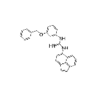 N=C(Nc1cccc(OCc2ccccc2)c1)Nc1ccc2c3c(cccc13)C=C2